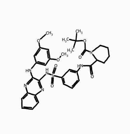 COc1cc(Nc2nc3ccccc3nc2NS(=O)(=O)c2cccc(NC(=O)C3CCCCN3C(=O)OC(C)(C)C)c2)cc(OC)c1